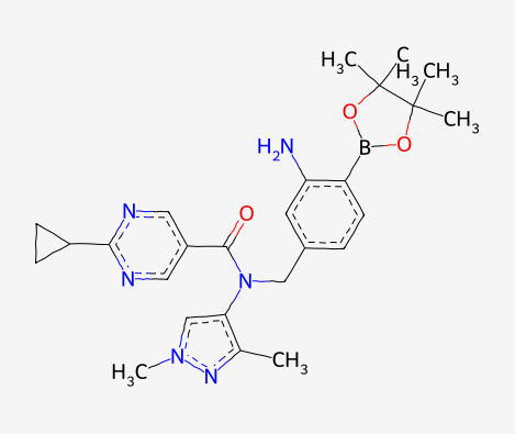 Cc1nn(C)cc1N(Cc1ccc(B2OC(C)(C)C(C)(C)O2)c(N)c1)C(=O)c1cnc(C2CC2)nc1